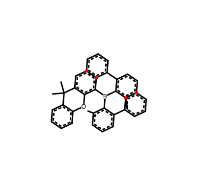 Cc1cccc(-c2ccccc2)c1B(c1cccc2c1Oc1ccccc1C2(C)C)c1c(C)cccc1-c1ccccc1